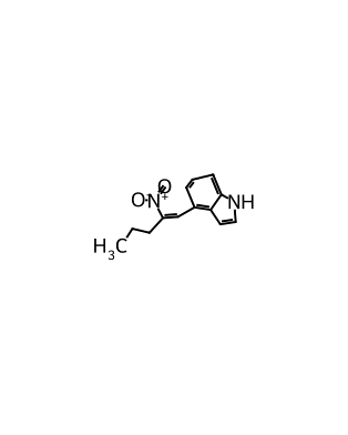 CCCC(=Cc1cccc2[nH]ccc12)[N+](=O)[O-]